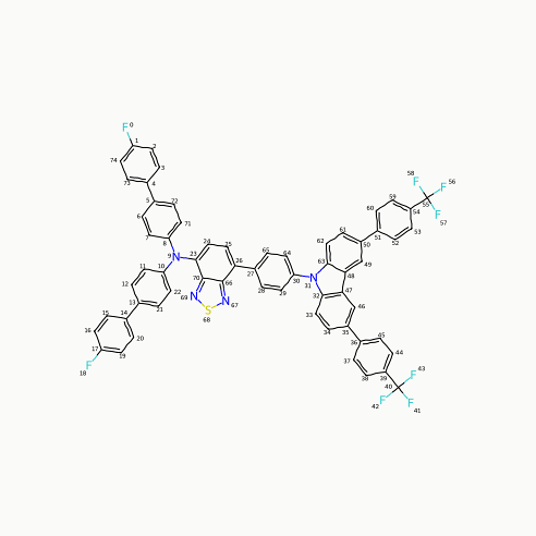 Fc1ccc(-c2ccc(N(c3ccc(-c4ccc(F)cc4)cc3)c3ccc(-c4ccc(-n5c6ccc(-c7ccc(C(F)(F)F)cc7)cc6c6cc(-c7ccc(C(F)(F)F)cc7)ccc65)cc4)c4nsnc34)cc2)cc1